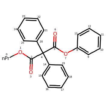 CCCOC(=O)C(C(=O)Oc1ccccc1)(c1ccccc1)c1ccccc1